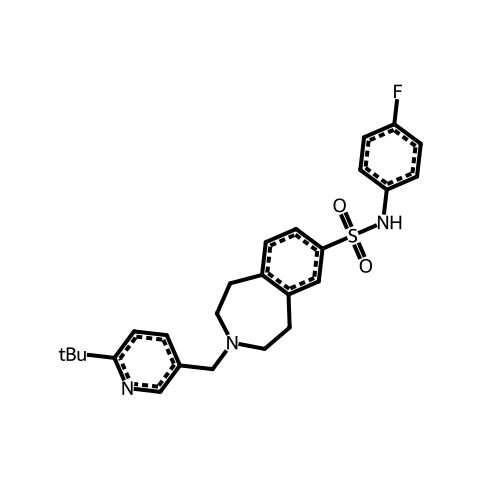 CC(C)(C)c1ccc(CN2CCc3ccc(S(=O)(=O)Nc4ccc(F)cc4)cc3CC2)cn1